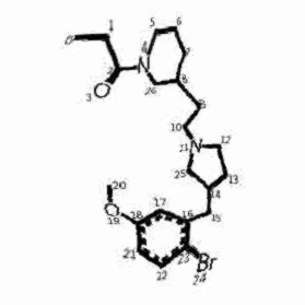 CCC(=O)N1CCCC(CCN2CCC(Cc3cc(OC)ccc3Br)C2)C1